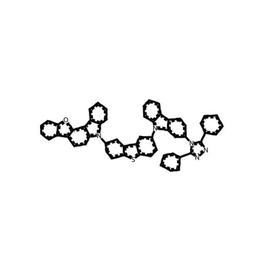 c1ccc(-c2nnc(-c3ccccc3)n2-c2ccc3c4ccccc4n(-c4ccc5sc6ccc(-n7c8ccccc8c8c9oc%10ccccc%10c9ccc87)cc6c5c4)c3c2)cc1